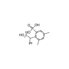 Cc1cc(C)c(C(C(=O)O)C(C)C)c(P(=O)(O)O)c1